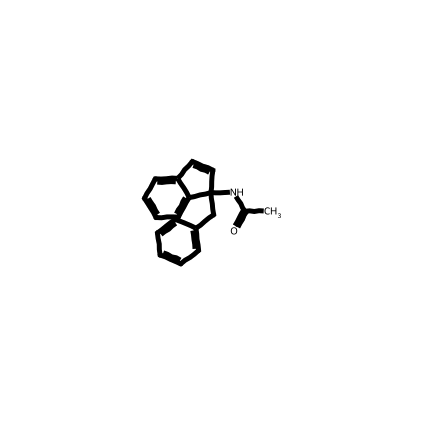 CC(=O)NC1(Cc2ccccc2)C=Cc2ccccc21